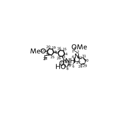 COCCN1C=C(C[C@H](CO)NC(=O)c2cccc(-c3ccc(OC)c(F)c3)c2)C2C=CC=CC21